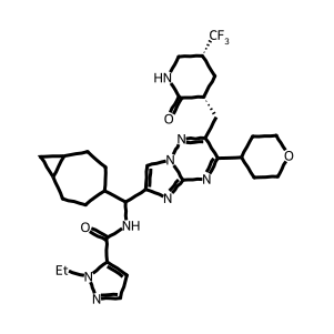 CCn1nccc1C(=O)NC(c1cn2nc(C[C@H]3C[C@@H](C(F)(F)F)CNC3=O)c(C3CCOCC3)nc2n1)C1CCC2CC2CC1